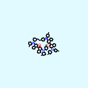 Cc1ccc(N(c2ccc(C)cc2)c2cc3oc4cc(N(c5ccc(C)cc5)c5ccc(CCc6cccc(N(c7cccc(C)c7)c7cc8oc9cc(N(c%10cccc(C)c%10)c%10cccc(C)c%10)c%10ccccc%10c9c8c8ccccc78)c6)cc5)c5ccccc5c4c3c3ccccc23)cc1